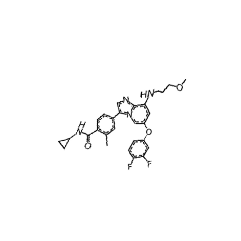 COCCNc1cc(Oc2ccc(F)c(F)c2)cn2c(-c3ccc(C(=O)NC4CC4)c(C)c3)cnc12